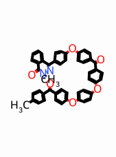 Cc1ccc(C(=O)c2ccc(Oc3ccc(Oc4ccc(C(=O)c5ccc(Oc6ccc(-c7nn(C)c(=O)c8ccccc78)cc6)cc5)cc4)cc3)cc2)cc1